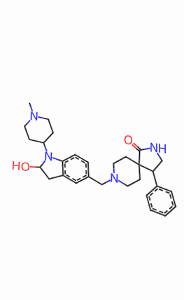 CN1CCC(N2c3ccc(CN4CCC5(CC4)C(=O)NCC5c4ccccc4)cc3CC2O)CC1